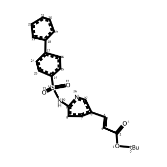 CC(C)(C)OC(=O)/C=C/c1ccc(NS(=O)(=O)c2ccc(-c3ccccc3)cc2)nc1